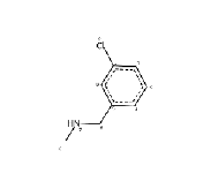 Clc1cccc(CNI)c1